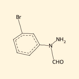 NN(C=O)c1cccc(Br)c1